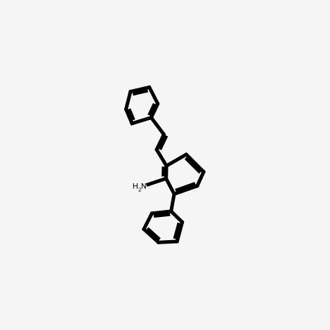 Nc1c(C=Cc2ccccc2)cccc1-c1ccccc1